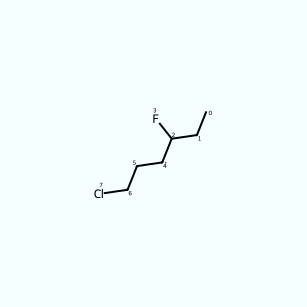 CCC(F)[CH]CCCl